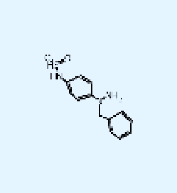 NN(Cc1ccccc1)c1ccc(N[SH](=O)=O)cc1